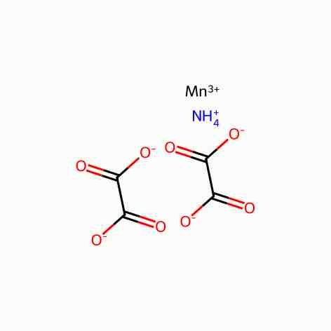 O=C([O-])C(=O)[O-].O=C([O-])C(=O)[O-].[Mn+3].[NH4+]